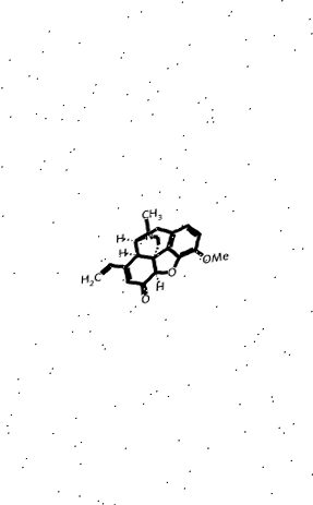 C=CC1=CC(=O)[C@@H]2Oc3c(OC)ccc4c3[C@@]23CCN(C)[C@H](C4)[C@H]13